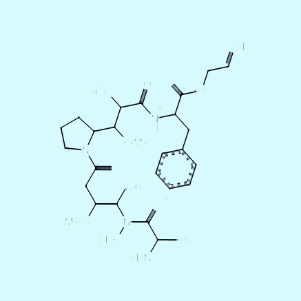 C=CCOC(=O)C(Cc1ccccc1)NC(=O)C(C)C(OC)C1CCCN1C(=O)CC(OC)C(C(C)CC)N(C)C(=O)C(N)C(C)C